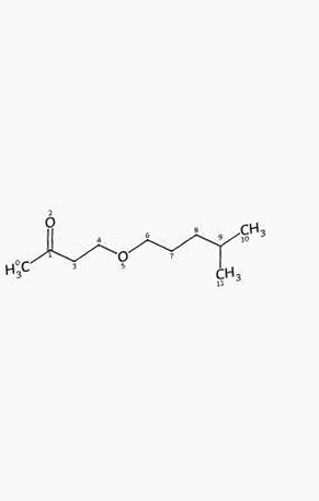 CC(=O)CCOCCCC(C)C